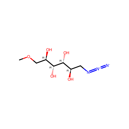 COC[C@@H](O)[C@@H](O)[C@H](O)[C@H](O)CN=[N+]=[N-]